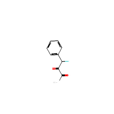 COC(=O)C(=O)C(F)c1ccccc1